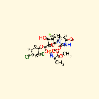 COC(=O)C(C)/N=[P+](\[O-])OC(Oc1ccc(Cl)cc1Cl)[C@@H]1O[C@@H](n2ccc(=O)[nH]c2=O)[C@](C)(F)[C@@H]1O